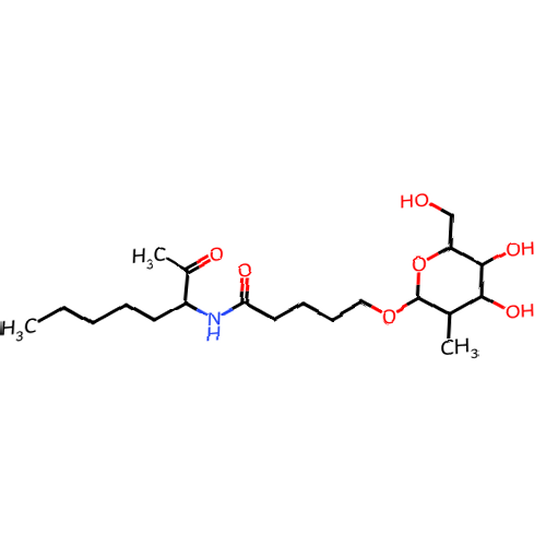 CCCCCC(NC(=O)CCCCOC1OC(CO)C(O)C(O)C1C)C(C)=O